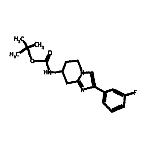 CC(C)(C)OC(=O)NC1CCn2cc(-c3cccc(F)c3)nc2C1